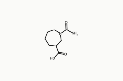 NC(=O)N1CCCCC(C(=O)O)C1